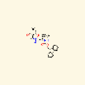 CC(NNC[C@H](NC(=O)OCC1c2ccccc2-c2ccccc21)C(=O)O)=C1C(=O)CC(C)(C)CC1=O